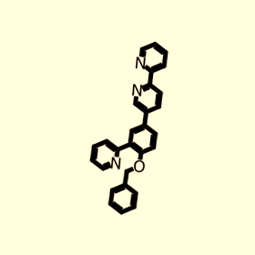 c1ccc(COc2ccc(-c3ccc(-c4ccccn4)nc3)cc2-c2ccccn2)cc1